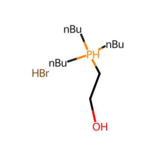 Br.CCCC[PH](CCO)(CCCC)CCCC